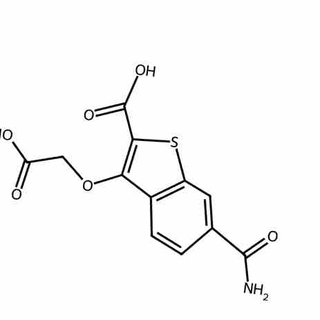 NC(=O)c1ccc2c(OCC(=O)O)c(C(=O)O)sc2c1